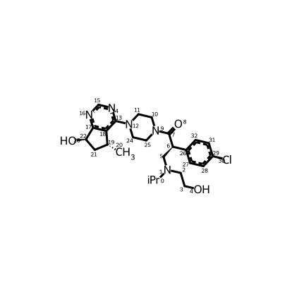 CC(C)N(CCO)C[C@@H](C(=O)N1CCN(c2ncnc3c2[C@H](C)C[C@H]3O)CC1)c1ccc(Cl)cc1